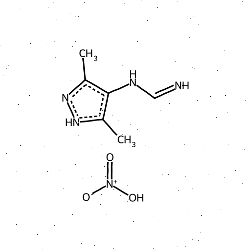 Cc1n[nH]c(C)c1NC=N.O=[N+]([O-])O